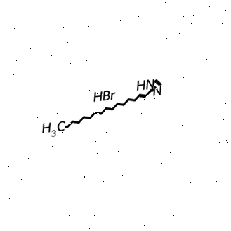 Br.CCCCCCCCCCCCCCC=Cc1ncc[nH]1